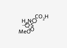 COC(=O)c1cc(C)ccc1Sc1ccc(C(=O)O)cc1N